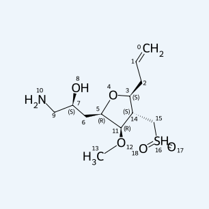 C=CC[C@@H]1O[C@H](C[C@H](O)CN)[C@H](OC)[C@H]1C[SH](=O)=O